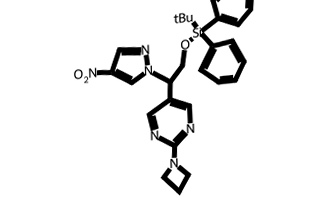 CC(C)(C)[Si](OCC(c1cnc(N2CCC2)nc1)n1cc([N+](=O)[O-])cn1)(c1ccccc1)c1ccccc1